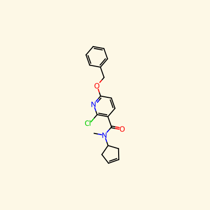 CN(C(=O)c1ccc(OCc2ccccc2)nc1Cl)C1CC=CC1